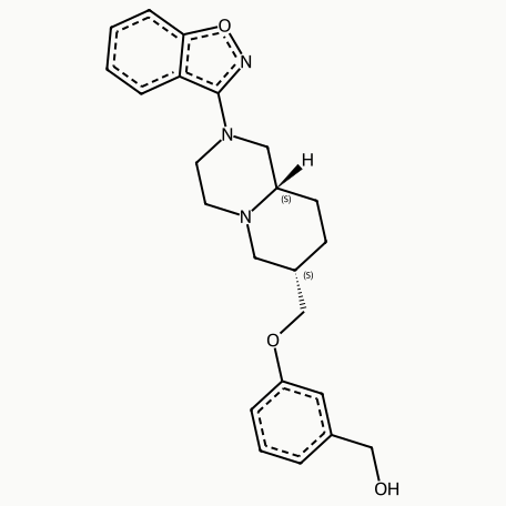 OCc1cccc(OC[C@H]2CC[C@H]3CN(c4noc5ccccc45)CCN3C2)c1